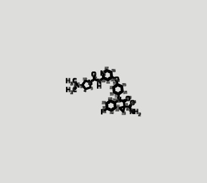 CN(C)[C@H]1CCN(C(=O)Nc2cc(Oc3ccc(N(C(=O)C4(C(N)=O)CC4)c4ccc(F)cc4)cc3)ccn2)C1